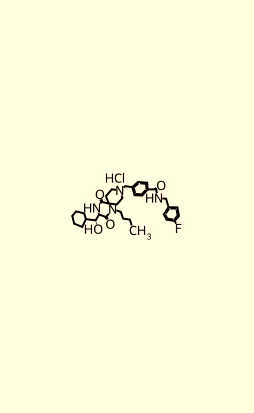 CCCCN1C(=O)[C@@H]([C@H](O)C2CCCCC2)NC(=O)C12CCN(Cc1ccc(C(=O)NCc3ccc(F)cc3)cc1)CC2.Cl